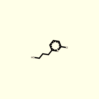 OCCCc1cccc(Cl)n1